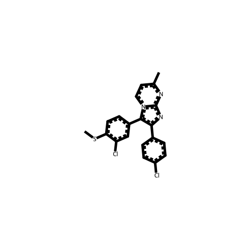 CSc1ccc(-c2c(-c3ccc(Cl)cc3)nc3nc(C)ccn23)cc1Cl